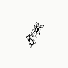 Clc1cc(Cl)c(OCCNc2ncnc3ccccc23)nc1Cl